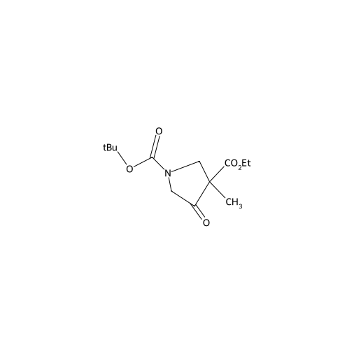 CCOC(=O)C1(C)CN(C(=O)OC(C)(C)C)CC1=O